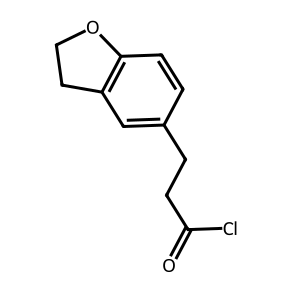 O=C(Cl)CCc1ccc2c(c1)CCO2